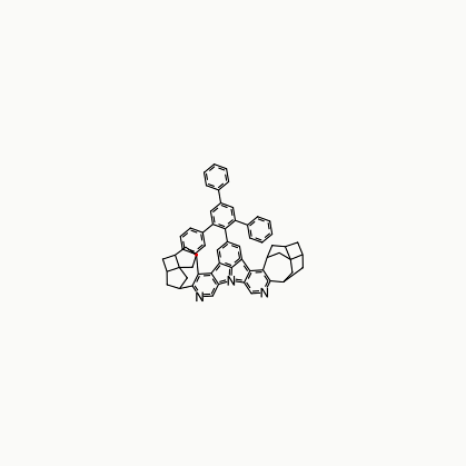 c1ccc(-c2cc(-c3ccccc3)c(-c3cc4c5c6c(ncc5n5c7cnc8c(c7c(c3)c45)C3CC4CC5CC8CC54C3)C3CC4CC5CC6CC45C3)c(-c3ccccc3)c2)cc1